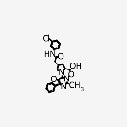 Cc1nc(N2C[C@@H](CC(=O)Nc3cccc(Cl)c3)C[C@H]2C(=O)O)c2oc3ccccc3c2n1